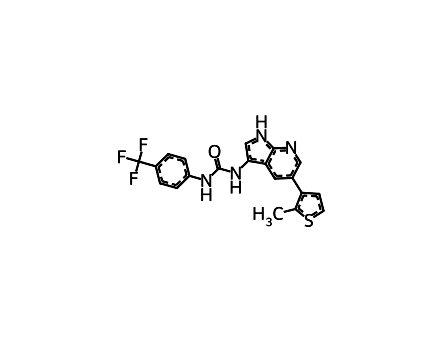 Cc1sccc1-c1cnc2[nH]cc(NC(=O)Nc3ccc(C(F)(F)F)cc3)c2c1